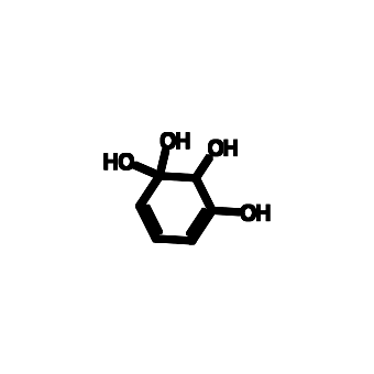 OC1=CC=CC(O)(O)C1O